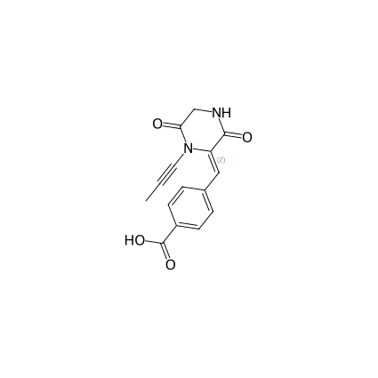 CC#CN1C(=O)CNC(=O)/C1=C/c1ccc(C(=O)O)cc1